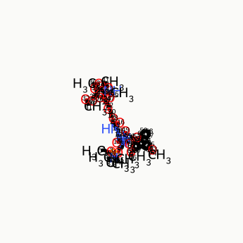 CCCOP(OCCn1c(=O)n(CCNC(=O)COCCOCCOC2OC(COC(C)=O)C(OC(C)=O)C(OC(C)=O)C2NC(C)=O)c(=O)n(CCOC(c2ccccc2)(c2ccc(OC)cc2)c2ccc(OC)cc2)c1=O)N(C(C)C)C(C)C